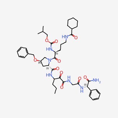 CCCC(NC(=O)[C@@H]1C[C@@H](OCc2ccccc2)CN1C(=O)[C@H](CCCNC(=O)C1CCCCC1)NC(=O)OCC(C)C)C(=O)C(=O)NCC(=O)N[C@H](C(N)=O)c1ccccc1